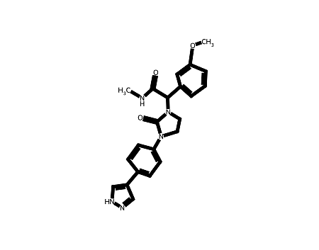 CNC(=O)C(c1cccc(OC)c1)N1CCN(c2ccc(-c3cn[nH]c3)cc2)C1=O